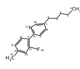 CCCCCc1ccc(-c2ccc(C)cc2F)nc1